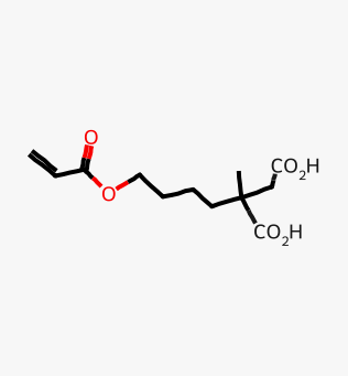 C=CC(=O)OCCCCC(C)(CC(=O)O)C(=O)O